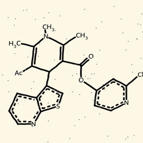 CC(=O)C1=C(C)N(C)C(C)=C(C(=O)Oc2ccnc(Cl)c2)C1c1csc2ncccc12